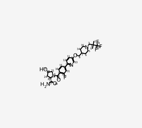 CC(C)(CN1CCC(COc2ccc(-c3ccc(C(=O)N4C[C@H](O)C[C@H]4C(N)=O)c(F)c3)nc2)CC1)C(F)(F)F